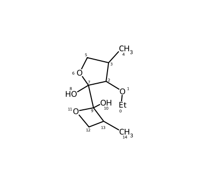 CCOC1C(C)COC1(O)C1(O)OCC1C